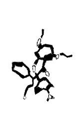 CCOc1cc(OCC)c2c(c1)OC(c1ccc(OC)cc1)(C(CC=O)c1ccccc1)C2=O